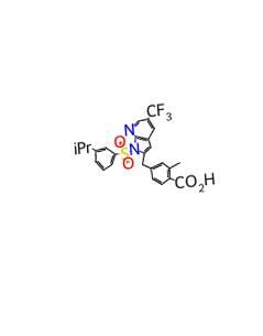 Cc1cc(Cc2cc3cc(C(F)(F)F)cnc3n2S(=O)(=O)c2cccc(C(C)C)c2)ccc1C(=O)O